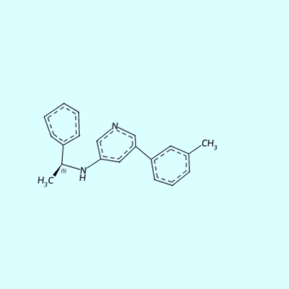 Cc1cccc(-c2cncc(N[C@@H](C)c3ccccc3)c2)c1